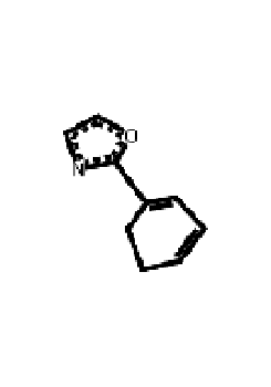 C1=CCCC(c2ncco2)=C1